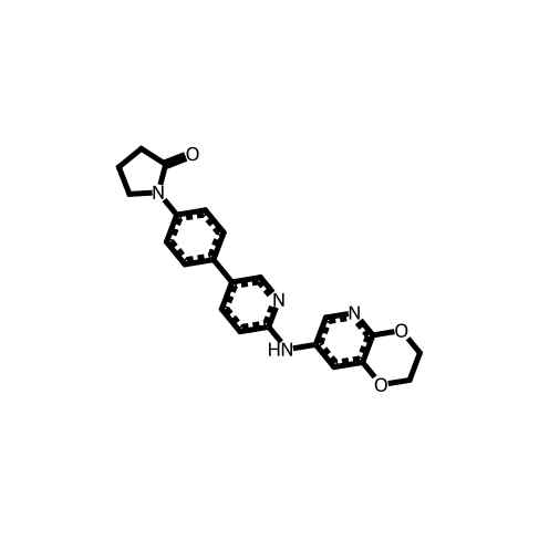 O=C1CCCN1c1ccc(-c2ccc(Nc3cnc4c(c3)OCCO4)nc2)cc1